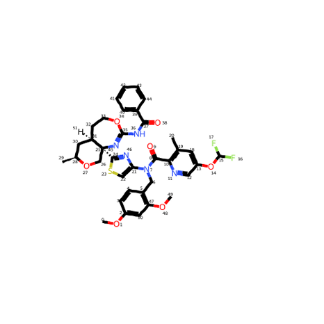 COc1ccc(CN(C(=O)c2ncc(OC(F)F)cc2C)c2csc([C@]34CO[C@@H](C)C[C@H]3CCOC(NC(=O)c3ccccc3)=N4)n2)c(OC)c1